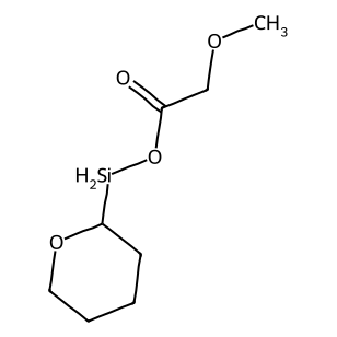 COCC(=O)O[SiH2]C1CCCCO1